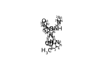 Cc1cc2cccnc2c(N2CCCN(C(CC(=O)NCCN3CCCC3)c3csc(N4CCOCC4)n3)CC2)c1CO